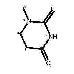 C=C1NC(=O)CCN1C